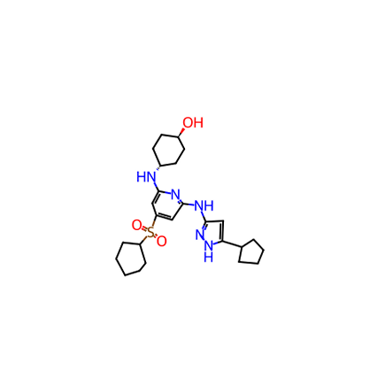 O=S(=O)(c1cc(Nc2cc(C3CCCC3)[nH]n2)nc(N[C@H]2CC[C@H](O)CC2)c1)C1CCCCC1